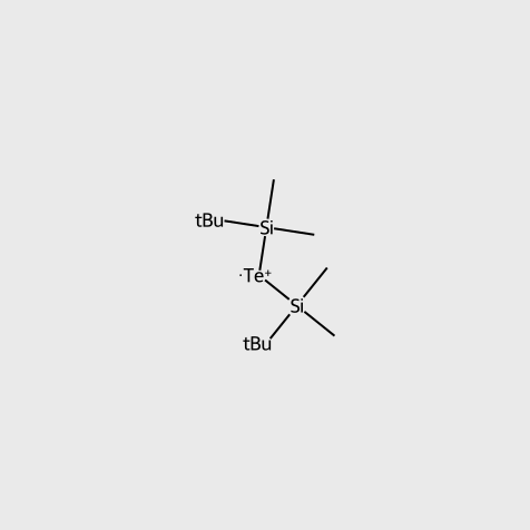 CC(C)(C)[Si](C)(C)[Te+][Si](C)(C)C(C)(C)C